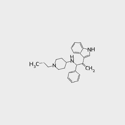 C=C(c1c[nH]c2ccccc12)C(NC1CCN(CCC)CC1)c1ccccc1